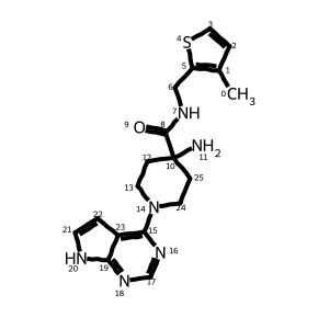 Cc1ccsc1CNC(=O)C1(N)CCN(c2ncnc3[nH]ccc23)CC1